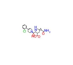 NC(=O)C1CC12CNC(C(=O)N1CC=C(c3ccccc3Cl)CC1)C(C(=O)O)C2